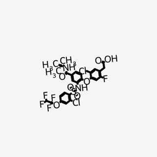 CC(C)(C)NC(=O)c1ccc(Oc2cc(F)c(CC(=O)O)cc2Cl)c(NS(=O)(=O)c2ccc(OC(F)(F)C(F)F)cc2Cl)c1